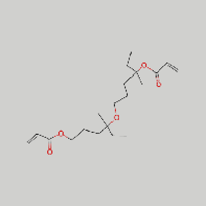 C=CC(=O)OCCCC(C)(CC)OCCCC(C)(CC)OC(=O)C=C